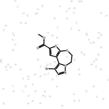 COC(=O)c1cc2c(s1)OCCn1ncc(Br)c1-2